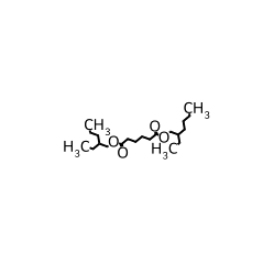 CCCCC(CC)COC(=O)CCCCC(=O)OCC(CC)CCC